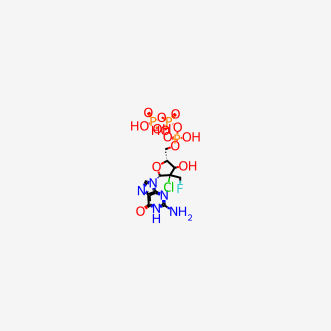 Nc1nc2c(ncn2[C@@H]2O[C@H](COP(=O)(O)OP(=O)(O)OP(=O)(O)O)C(O)[C@]2(Cl)CF)c(=O)[nH]1